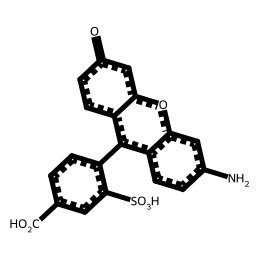 Nc1ccc2c(-c3ccc(C(=O)O)cc3S(=O)(=O)O)c3ccc(=O)cc-3oc2c1